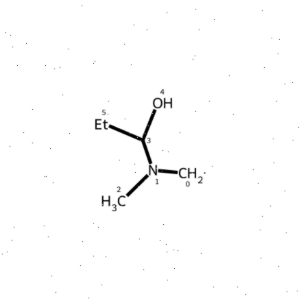 [CH2]N(C)C(O)CC